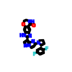 O=C1NCCOc2cc3[nH]c(-c4cnn5ccc(N6CCC[C@@H]6c6cc(F)ccc6F)nc45)nc3cc21